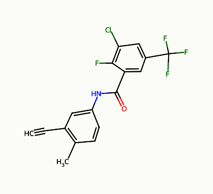 C#Cc1cc(NC(=O)c2cc(C(F)(F)F)cc(Cl)c2F)ccc1C